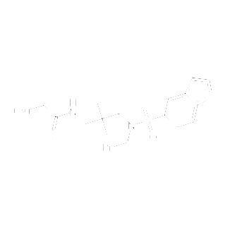 CC(C)CN(CC(C)(C)CNC(=O)CC(C)(C)C)S(=O)(=O)C1C=c2ccoc2=CC1